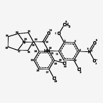 COc1cc([N+](=O)[O-])c(Cl)cc1NC(=O)C1CC2CCC(C1)N2Cc1ccc(Cl)c(Cl)c1